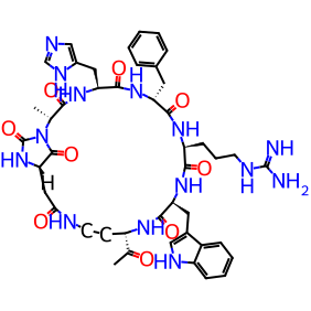 CC(=O)[C@@H]1CCNC(=O)C[C@@H]2NC(=O)N(C2=O)[C@H](C)C(=O)N[C@@H](Cc2cnc[nH]2)C(=O)N[C@H](Cc2ccccc2)C(=O)N[C@@H](CCCNC(=N)N)C(=O)N[C@@H](Cc2c[nH]c3ccccc23)C(=O)N1